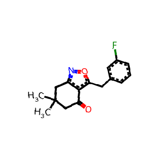 CC1(C)CC(=O)c2c(noc2Cc2cccc(F)c2)C1